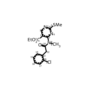 CCOC(=O)c1cnc(SC)nc1N(C)C(=O)Cc1ccccc1Cl